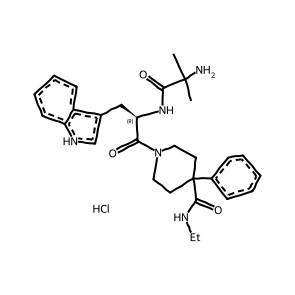 CCNC(=O)C1(c2ccccc2)CCN(C(=O)[C@@H](Cc2c[nH]c3ccccc23)NC(=O)C(C)(C)N)CC1.Cl